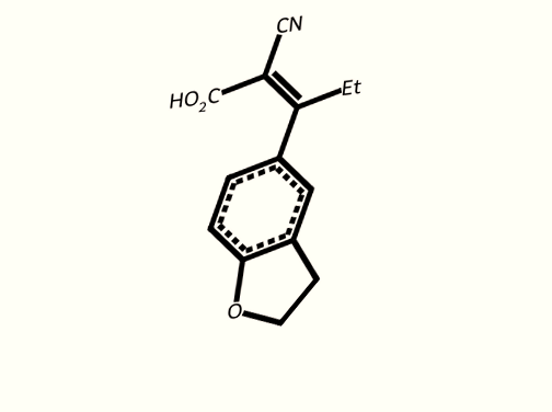 CCC(=C(C#N)C(=O)O)c1ccc2c(c1)CCO2